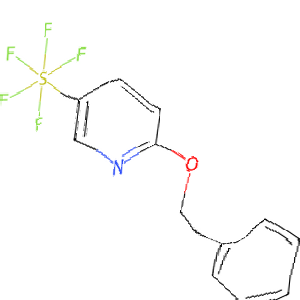 FS(F)(F)(F)(F)c1ccc(OCc2ccccc2)nc1